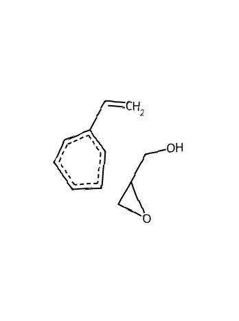 C=Cc1ccccc1.OCC1CO1